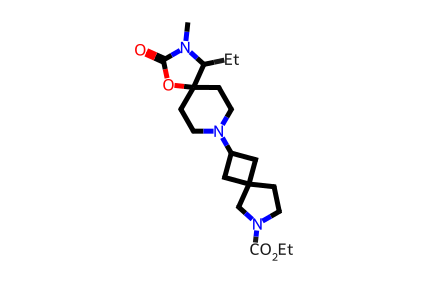 CCOC(=O)N1CCC2(CC(N3CCC4(CC3)OC(=O)N(C)C4CC)C2)C1